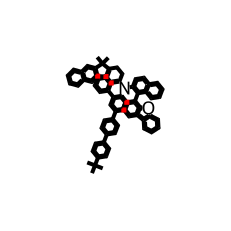 CC(C)(C)c1ccc(-c2ccc(-c3ccc(N(C4=CC5=C(CC4)C(C)(C)c4cc6ccccc6cc45)c4ccc5ccccc5c4-c4c#ccc5c4oc4ccccc45)c(-c4ccccc4)c3)cc2)cc1